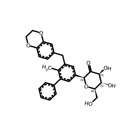 Cc1c(Cc2ccc3c(c2)OCCO3)cc([C@@H]2O[C@H](CO)[C@@H](O)[C@H](O)C2=O)cc1-c1ccccc1